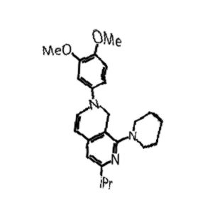 COc1ccc(N2C=Cc3cc(C(C)C)nc(N4CCCCC4)c3C2)cc1OC